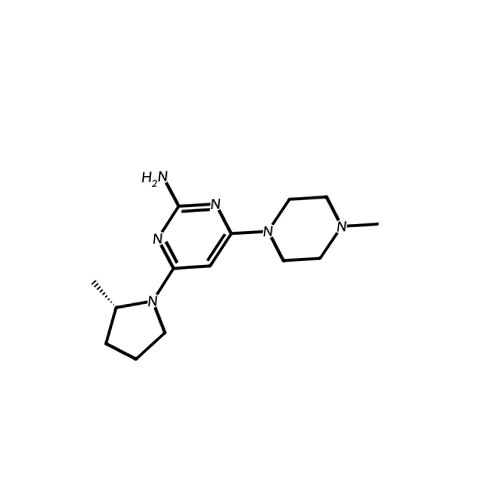 C[C@H]1CCCN1c1cc(N2CCN(C)CC2)nc(N)n1